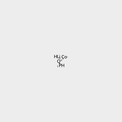 O=P.[Co].[LiH]